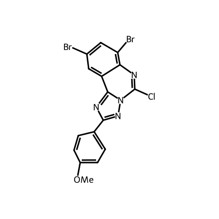 COc1ccc(-c2nc3c4cc(Br)cc(Br)c4nc(Cl)n3n2)cc1